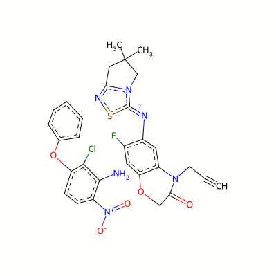 C#CCN1C(=O)COc2cc(F)c(/N=c3\snc4n3CC(C)(C)C4)cc21.Nc1c([N+](=O)[O-])ccc(Oc2ccccc2)c1Cl